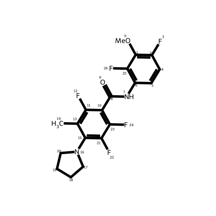 COc1c(F)ccc(NC(=O)c2c(F)c(C)c(N3CCCC3)c(F)c2F)c1F